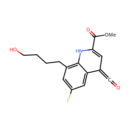 COC(=O)C1=CC(=C=O)c2cc(F)cc(CCCCO)c2N1